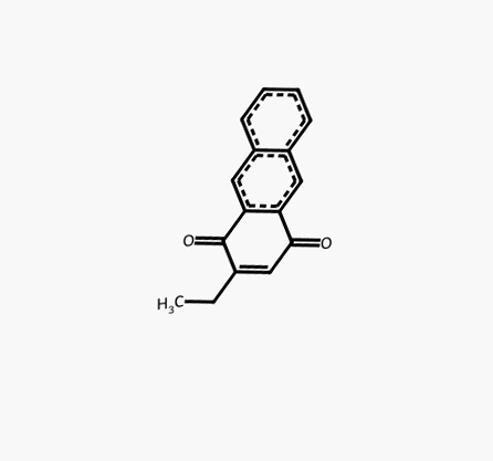 CCC1=CC(=O)c2cc3ccccc3cc2C1=O